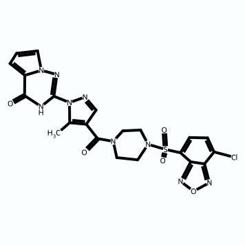 Cc1c(C(=O)N2CCN(S(=O)(=O)c3ccc(Cl)c4nonc34)CC2)cnn1-c1nn2cccc2c(=O)[nH]1